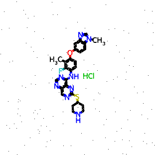 Cc1c(Oc2ccc3c(c2)ncn3C)ccc(Nc2ncnc3cnc(SC4CCNCC4)nc23)c1F.Cl